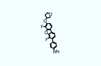 CCCc1ccc(-c2ccc3c(oc4c(F)c(OC5CCOC5)ccc43)c2F)cc1